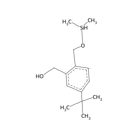 C[SiH](C)OCc1[c]cc(C(C)(C)C)cc1CO